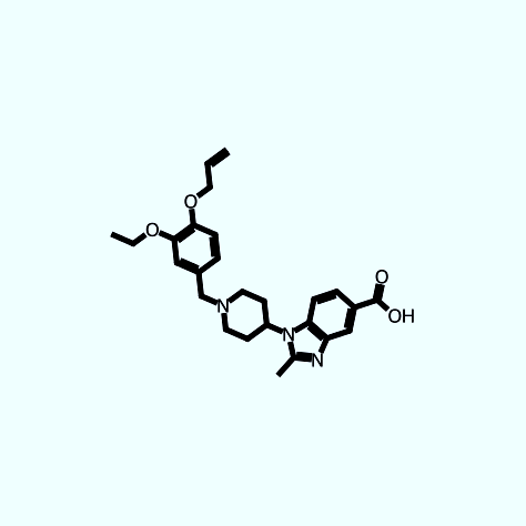 C=CCOc1ccc(CN2CCC(n3c(C)nc4cc(C(=O)O)ccc43)CC2)cc1OCC